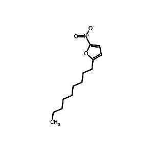 CCCCCCCCCc1ccc([N+](=O)[O-])o1